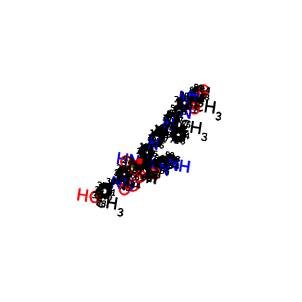 COc1cc(C[C@]2(C#N)CCN(C3CC4(CCN(c5ccc(C(=O)NS(=O)(=O)c6ccc(NC[C@H]7CC[C@](C)(O)CC7)c([N+](=O)[O-])c6)c(N6c7cc8cc[nH]c8nc7O[C@H]7COCC[C@@H]76)c5)CC4)C3)[C@H](c3ccccc3C)C2)cnc1N1CCOCC1